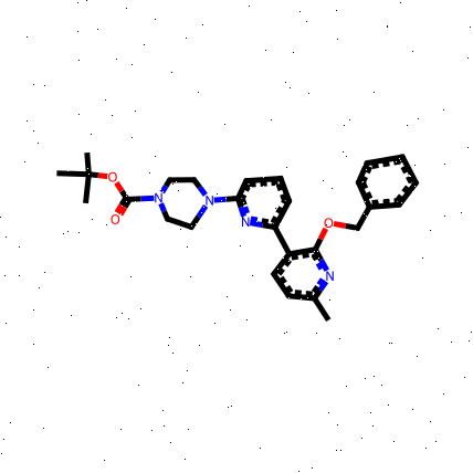 Cc1ccc(-c2cccc(N3CCN(C(=O)OC(C)(C)C)CC3)n2)c(OCc2ccccc2)n1